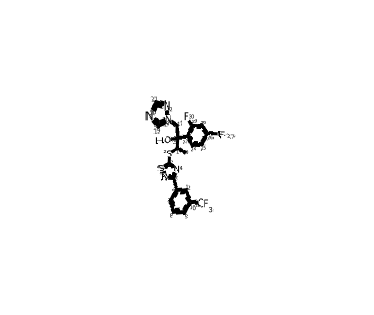 CC(Sc1nc(-c2cccc(C(F)(F)F)c2)ns1)C(O)(Cn1cncn1)c1ccc(F)cc1F